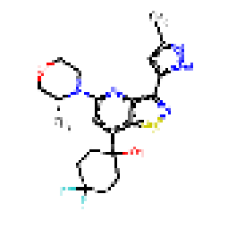 Cc1cc(-c2nsc3c(C4(O)CCC(F)(F)CC4)cc(N4CCOC[C@H]4C)nc23)[nH]n1